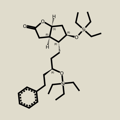 CC[Si](CC)(CC)O[C@@H](CCc1ccccc1)CC[C@@H]1[C@H]2CC(=O)O[C@H]2C[C@H]1O[Si](CC)(CC)CC